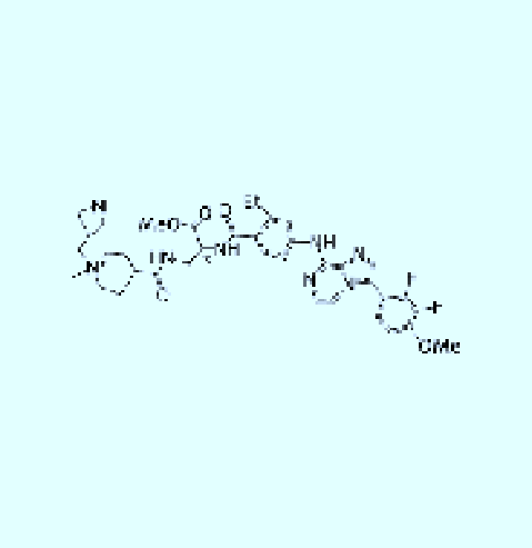 CCc1cc(Nc2nccn3c(-c4ccc(OC)c(F)c4F)cnc23)ccc1C(=O)N[C@@H](CNC(=O)C1CC[N+](C)(CC2CNC2)CC1)C(=O)OC